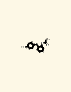 CC(C)C(=O)Oc1ccccc1Cc1ccc(O)cc1